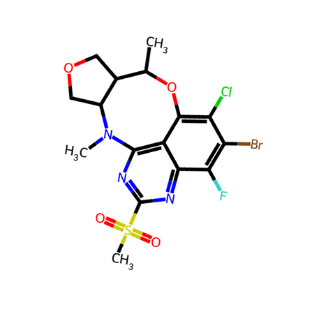 CC1Oc2c(Cl)c(Br)c(F)c3nc(S(C)(=O)=O)nc(c23)N(C)C2COCC12